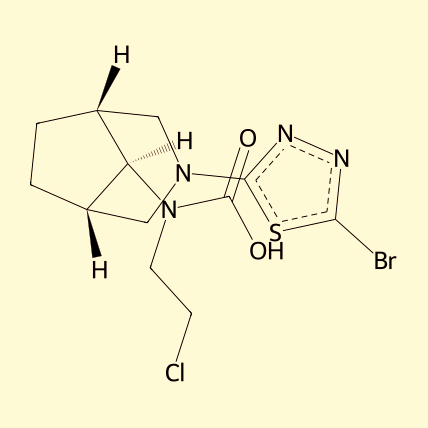 O=C(O)N(CCCl)[C@@H]1[C@@H]2CC[C@H]1CN(c1nnc(Br)s1)C2